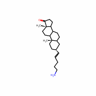 C[C@]12CC[C@H](C=CCCCN)CC1CCC1C2CC[C@]2(C)C(=O)CCC12